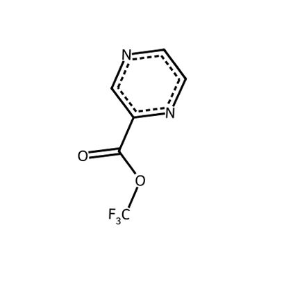 O=C(OC(F)(F)F)c1cnccn1